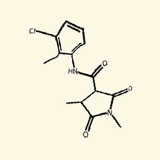 Cc1c(Cl)cccc1NC(=O)C1C(=O)N(C)C(=O)C1C